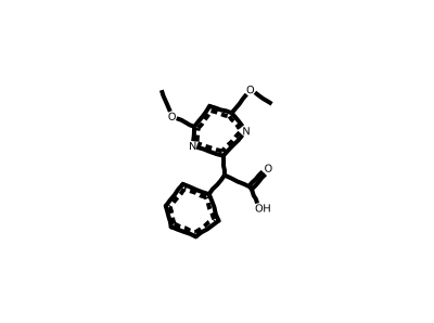 COc1cc(OC)nc(C(C(=O)O)c2ccccc2)n1